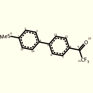 CSc1ccc(-c2ccc(C(=O)C(F)(F)F)cc2)cc1